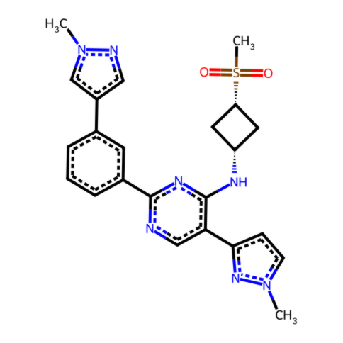 Cn1cc(-c2cccc(-c3ncc(-c4ccn(C)n4)c(N[C@H]4C[C@@H](S(C)(=O)=O)C4)n3)c2)cn1